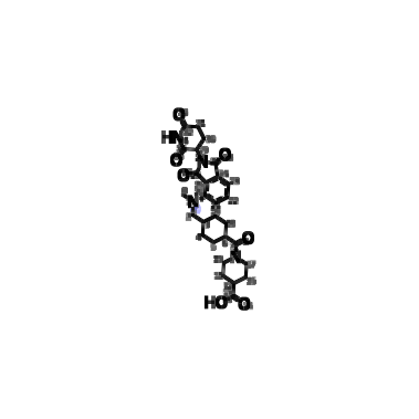 C/[N+](=C/C1CCC(C(=O)N2CCC(C(=O)O)CC2)CC1)c1cccc2c1C(=O)N(C1CCC(=O)NC1=O)C2=O